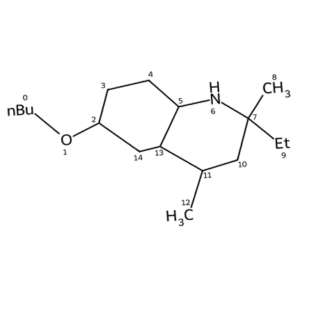 CCCCOC1CCC2NC(C)(CC)CC(C)C2C1